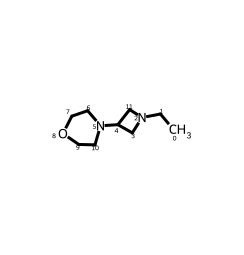 CCN1CC(N2CCOCC2)C1